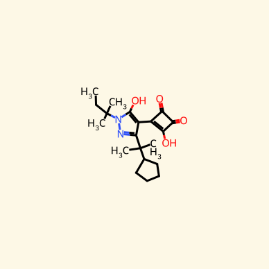 CCC(C)(C)n1nc(C(C)(C)C2CCCC2)c(-c2c(O)c(=O)c2=O)c1O